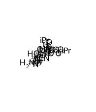 CC(C)OC(=O)OCO[P@](=O)(N[C@@H](C)C(=O)OC(C)C)OC[C@H]1O[C@@](C#N)(c2ccc3c(N)ncnn23)[C@H](O)[C@@H]1O